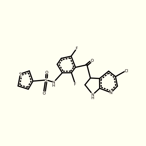 O=C(c1c(F)ccc(NS(=O)(=O)c2ccsc2)c1F)C1CNc2ncc(Cl)cc21